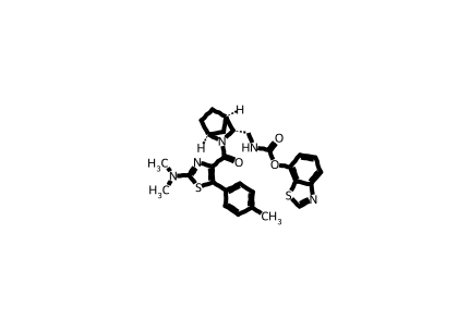 Cc1ccc(-c2sc(N(C)C)nc2C(=O)N2[C@H]3CC[C@H](C3)[C@@H]2CNC(=O)Oc2cccc3ncsc23)cc1